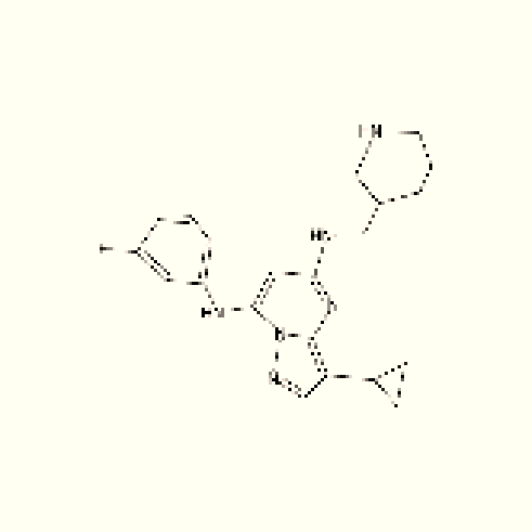 Fc1cccc(Nc2cc(NCC3CCCNC3)nc3c(C4CC4)cnn23)c1